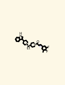 CCN(C1CCN(C(=O)/C=C/c2cc(C)c(F)c(F)c2)CC1)N1CCC(c2c[nH]c3ccccc23)CC1